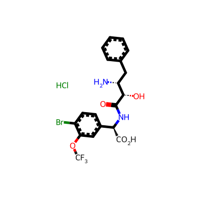 Cl.N[C@H](Cc1ccccc1)[C@H](O)C(=O)N[C@@H](C(=O)O)c1ccc(Br)c(OC(F)(F)F)c1